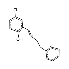 Oc1ccc(Cl)cc1C=NCCc1ccccn1